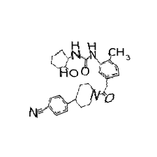 Cc1ccc(C(=O)N2CCC(c3ccc(C#N)cc3)CC2)cc1NC(=O)NC1CCCCC1O